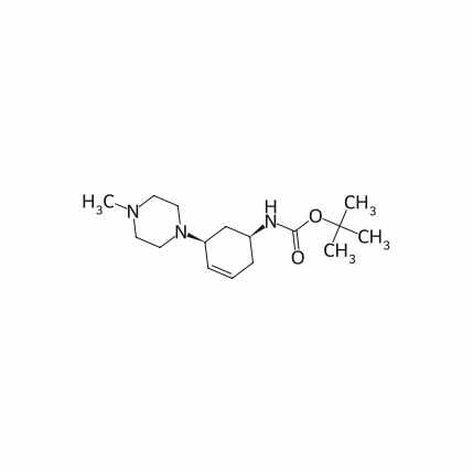 CN1CCN([C@@H]2C=CC[C@H](NC(=O)OC(C)(C)C)C2)CC1